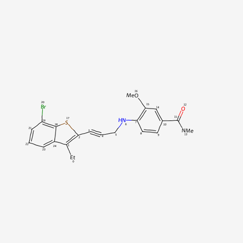 CCc1c(C#CCNc2ccc(C(=O)NC)cc2OC)sc2c(Br)cccc12